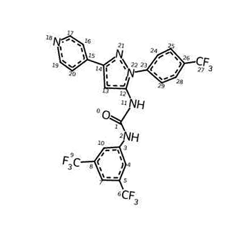 O=C(Nc1cc(C(F)(F)F)cc(C(F)(F)F)c1)Nc1cc(-c2ccncc2)nn1-c1ccc(C(F)(F)F)cc1